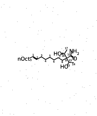 CCCCCCCCC=CCCCCCCC(C(N)=O)(C(C)O)C(C)O